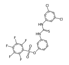 O=S(=O)(Oc1cccc(NC(=S)Nc2cc(Cl)cc(Cl)c2)c1)c1c(F)c(F)c(F)c(F)c1F